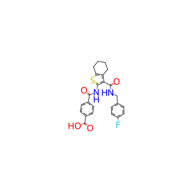 O=C(O)c1ccc(C(=O)Nc2sc3c(c2C(=O)NCc2ccc(F)cc2)CCCC3)cc1